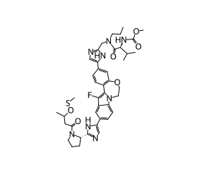 CCCN(Cc1ncc(-c2ccc3c(c2)OCCn2c-3c(F)c3cc(-c4cnc([C@@H]5CCCN5C(=O)CC(C)OSC)[nH]4)ccc32)[nH]1)C(=O)[C@@H](NC(=O)OC)C(C)C